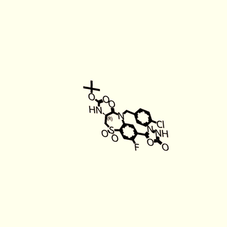 CC(C)(C)OC(=O)N[C@H]1CS(=O)(=O)c2cc(F)c(-c3n[nH]c(=O)o3)cc2N(Cc2ccc(Cl)cc2)C1=O